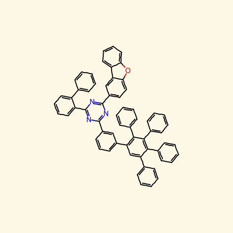 c1ccc(-c2ccccc2-c2nc(-c3cccc(-c4cc(-c5ccccc5)c(-c5ccccc5)c(-c5ccccc5)c4-c4ccccc4)c3)nc(-c3ccc4oc5ccccc5c4c3)n2)cc1